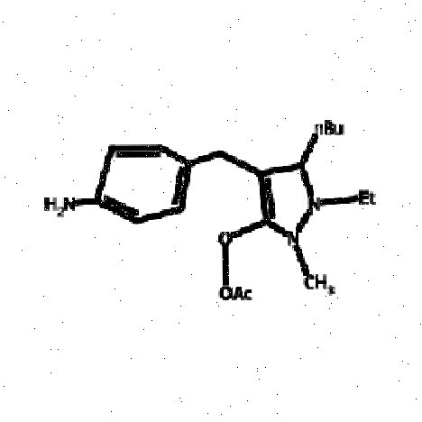 CCCCC1C(Cc2ccc(N)cc2)=C(OOC(C)=O)N(C)N1CC